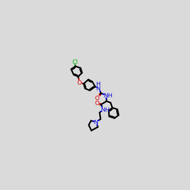 O=C(Nc1ccc(Oc2ccc(Cl)cc2)cc1)NC(Cc1ccccc1)C(=O)NCCN1CCCC1